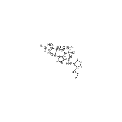 CCOC1CCCN1NC1=NC(Cl)(C(C)=O)N(C(C)=O)c2c1ncn2[C@@H]1O[C@H](COC)C(O)C1O